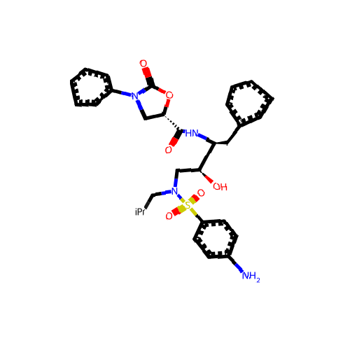 CC(C)CN(C[C@H](O)[C@H](Cc1ccccc1)NC(=O)[C@@H]1CN(c2ccccc2)C(=O)O1)S(=O)(=O)c1ccc(N)cc1